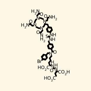 NC(=O)CN1CCN(CC(N)=O)CCN(CC(N)=O)C(Cc2ccc(NC(=S)NCc3ccc(C(=O)N(CCCCC(NC(=O)N[C@H](CCC(=O)O)C(=O)O)C(=O)O)Cc4ccc(Br)cc4)cc3)cc2)CN(CC(N)=O)CC1